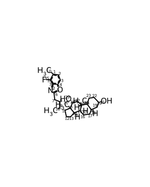 Cc1ccc2oc(CCC(C)[C@H]3CC[C@H]4[C@@H]5CC[C@@H]6C[C@H](O)CC[C@]6(C)[C@H]5C[C@H](O)[C@]34C)nc2c1F